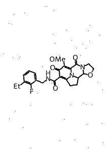 CCc1cccc(CNC(=O)c2c3n4c(c(OC)c2=O)C(=O)N2CCOC2C4CC3)c1F